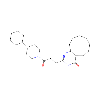 O=C1NC(CCC(=O)N2CCB(C3CCCCC3)CC2)=NC2CCCCCCCC12